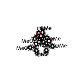 COc1ccc(N(c2ccc(OC)cc2)c2ccc3c(c2)C(C(C)(C)C)(C2(C(C)(C)C)c4cc(N(c5ccc(OC)cc5)c5ccc(OC)cc5)ccc4-c4c2cc(N(c2ccc(OC)cc2)c2ccc(OC)cc2)c2ccccc42)c2cc(N(c4ccc(OC)cc4)c4ccc(OC)cc4)c4ccccc4c2-3)cc1